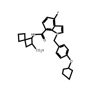 O=C(NC1C(C(=O)O)CC12CCC2)c1ccc(F)c2ccn(Cc3ccc(OC4CCCC4)cc3)c12